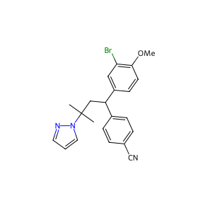 COc1ccc(C(CC(C)(C)n2cccn2)c2ccc(C#N)cc2)cc1Br